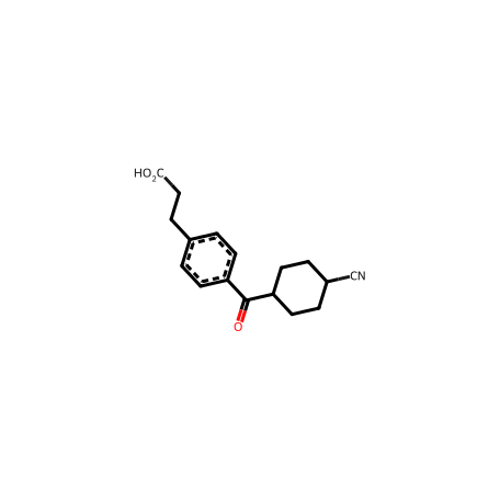 N#CC1CCC(C(=O)c2ccc(CCC(=O)O)cc2)CC1